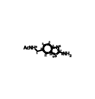 CC(=O)NCc1ccc2nc(N)sc2c1